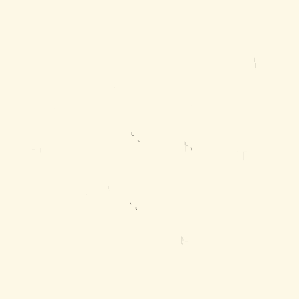 CCS(=O)(=O)c1cc(C(F)(F)F)c(-c2ccc(C(F)(F)F)cc2)nc1C(=O)N(C)c1cnc(C(F)(F)F)cc1N